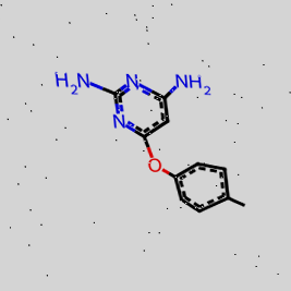 Cc1ccc(Oc2cc(N)nc(N)n2)cc1